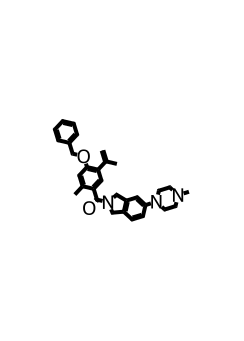 C=C(C)c1cc(C(=O)N2Cc3ccc(N4CCN(C)CC4)cc3C2)c(C)cc1OCc1ccccc1